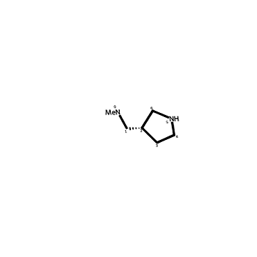 CNC[C@H]1CCNC1